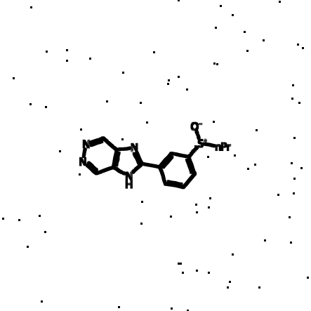 CCC[S+]([O-])c1cccc(-c2nc3cnncc3[nH]2)c1